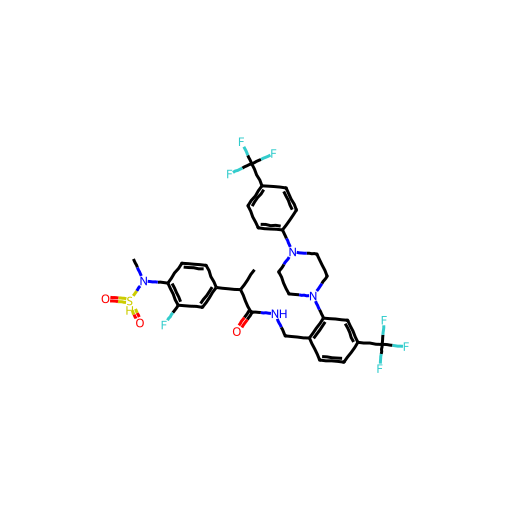 CC(C(=O)NCc1ccc(C(F)(F)F)cc1N1CCN(c2ccc(C(F)(F)F)cc2)CC1)c1ccc(N(C)[SH](=O)=O)c(F)c1